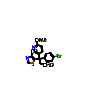 COc1ccc(C(CC=O)(c2ccc(Br)cc2)c2scnc2C)cn1